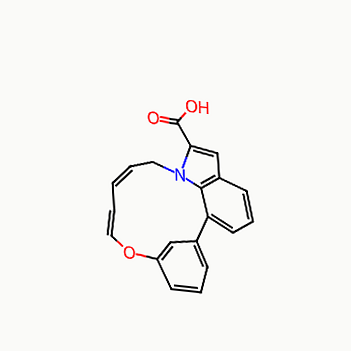 O=C(O)c1cc2cccc3c2n1CC=CC=COc1cccc-3c1